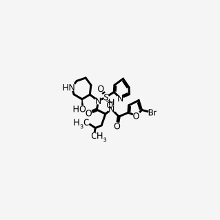 CC(C)CC(NC(=O)c1ccc(Br)o1)C(=O)N(C1CCCNC[C@@H]1O)S(=O)(=O)c1ccccn1